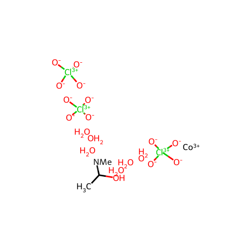 CNC(C)O.O.O.O.O.O.O.[Co+3].[O-][Cl+3]([O-])([O-])[O-].[O-][Cl+3]([O-])([O-])[O-].[O-][Cl+3]([O-])([O-])[O-]